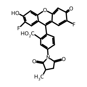 CC1CC(=O)N(c2ccc(-c3c4cc(F)c(=O)cc-4oc4cc(O)c(F)cc34)c(C(=O)O)c2)C1=O